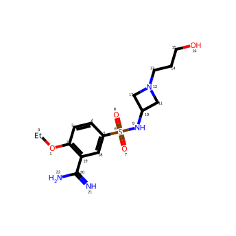 CCOc1ccc(S(=O)(=O)NC2CN(CCCO)C2)cc1C(=N)N